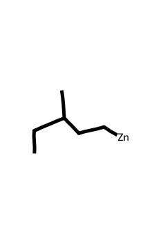 CCC(C)C[CH2][Zn]